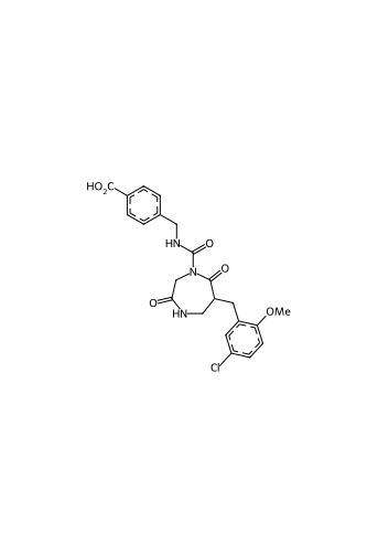 COc1ccc(Cl)cc1CC1CNC(=O)CN(C(=O)NCc2ccc(C(=O)O)cc2)C1=O